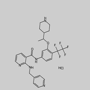 CC(Oc1cc(NC(=O)c2cccnc2NCc2ccncc2)ccc1C(F)(F)C(F)(F)F)C1CCNCC1.Cl